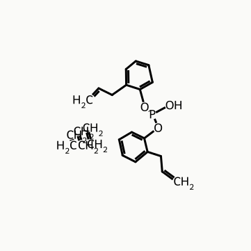 C=C.C=C.C=C.C=CCc1ccccc1OP(O)Oc1ccccc1CC=C